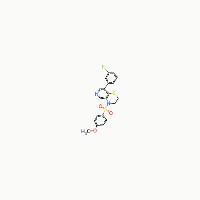 COc1ccc(S(=O)(=O)N2CCSc3c(-c4cccc(F)c4)cncc32)cc1